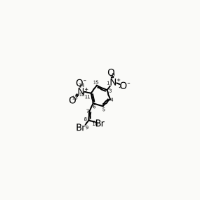 O=[N+]([O-])c1ccc(C=C(Br)Br)c([N+](=O)[O-])c1